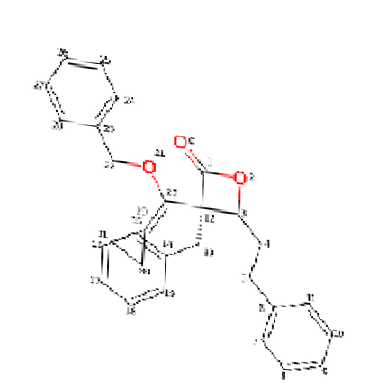 O=C1OC(CCc2ccccc2)[C@@]1(Cc1ccccc1)C(OCc1ccccc1)=C1CC1